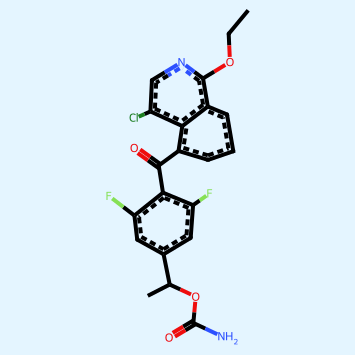 CCOc1ncc(Cl)c2c(C(=O)c3c(F)cc(C(C)OC(N)=O)cc3F)cccc12